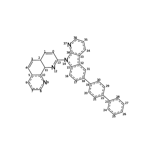 C1=CC2C=Cc3cccnc3C2N=C1n1c2ccc(-c3ccc(-c4ccccc4)cc3)cc2c2cccnc21